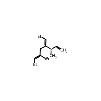 C=CN(C)/C(=C/CC)C/C(=C/CC)C(C)C